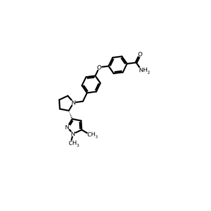 Cc1cc([C@@H]2CCCN2Cc2ccc(Oc3ccc(C(N)=O)cc3)cc2)nn1C